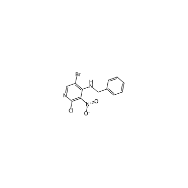 O=[N+]([O-])c1c(Cl)ncc(Br)c1NCc1ccccc1